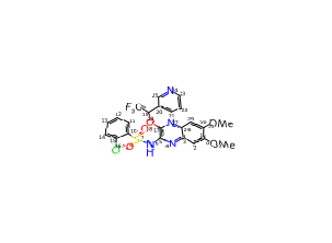 COc1cc2nc(NS(=O)(=O)c3ccccc3Cl)c(OC(c3cccnc3)C(F)(F)F)nc2cc1OC